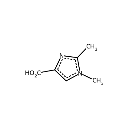 Cc1nc(C(=O)O)cn1C